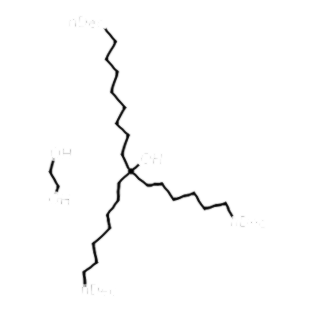 CCCCCCCCCCCCCCCCCCC(O)(CCCCCCCCCCCCCCCC)CCCCCCCCCCCCCCCCC.OCCO